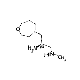 CNC[C@@H](N)CC1CCCOCC1